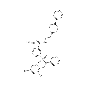 Cl.Cl.O=C(NCCN1CCN(c2ccncc2)CC1)c1cccc(S(=O)(=O)N(Oc2ccc(Cl)cc2Cl)c2ccccc2)c1